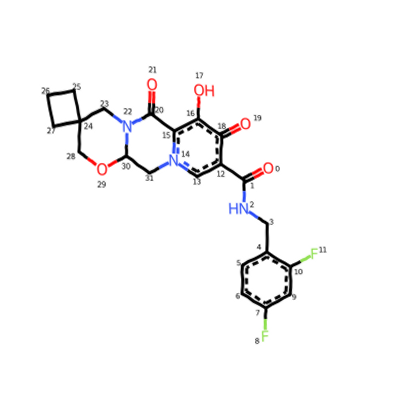 O=C(NCc1ccc(F)cc1F)c1cn2c(c(O)c1=O)C(=O)N1CC3(CCC3)COC1C2